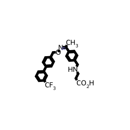 C/C(=N/OCc1ccc(-c2cccc(C(F)(F)F)c2)cc1)c1ccc(CNCCC(=O)O)cc1